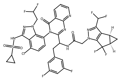 O=C(Cn1nc(C(F)F)c2c1C(F)(F)[C@@H]1C[C@H]21)NC(Cc1cc(F)cc(F)c1)c1nc2ncccc2c(=O)n1-c1ccc(Cl)c2c(NS(=O)(=O)C3CC3)nn(CC(F)F)c12